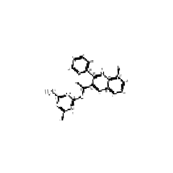 Cc1nc(N)nc(OC(C)c2cc3cccc(C)c3nc2-c2ccccc2)n1